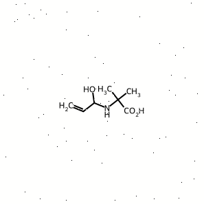 C=CC(O)NC(C)(C)C(=O)O